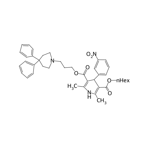 CCCCCCOC(=O)C1=C(C)NC(C)=C(C(=O)OCCCN2CCC(c3ccccc3)(c3ccccc3)CC2)C1c1cccc([N+](=O)[O-])c1